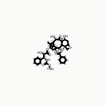 CC(=O)O[C@@]12COC1C[C@H](O)[C@@]1(C)C(=O)[C@H](O)C3=C(C)[C@@H](OC(=O)[C@H](O)[C@@H](NC(=O)OC(C)(C)C)c4ccccc4)C[C@@](O)([C@@H](OC(=O)c4ccccc4)C21)C3(C)C